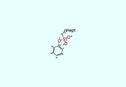 CCCCCCCCS(=O)(=O)Oc1ccccc1